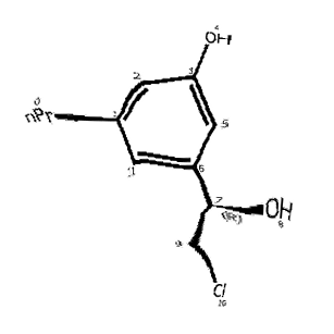 CCCc1cc(O)cc([C@@H](O)CCl)c1